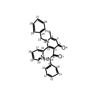 Cc1cc(=O)c(C(=O)Nc2ccccc2)c(-c2ccccn2)n1Cc1ccccc1